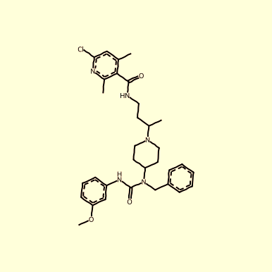 COc1cccc(NC(=O)N(Cc2ccccc2)C2CCN(C(C)CCNC(=O)c3c(C)cc(Cl)nc3C)CC2)c1